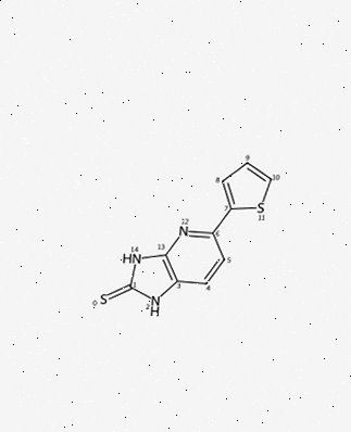 S=c1[nH]c2ccc(-c3cccs3)nc2[nH]1